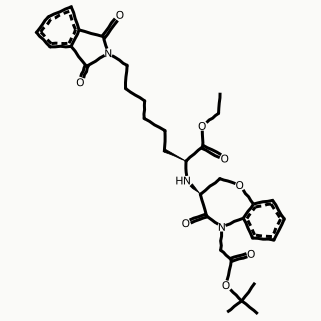 CCOC(=O)[C@H](CCCCCCN1C(=O)c2ccccc2C1=O)N[C@H]1COc2ccccc2N(CC(=O)OC(C)(C)C)C1=O